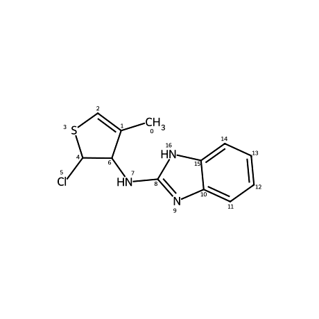 CC1=CSC(Cl)C1Nc1nc2ccccc2[nH]1